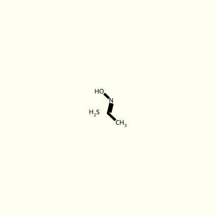 CC=NO.S